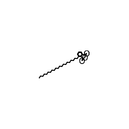 CCCCCCCCCCCCCCCCCCCCCc1cccc2c1C(=O)OC2=O